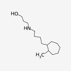 CC1CCCCCC1CCCCNCCCO